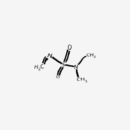 C=NS(=O)(=O)N(C)C